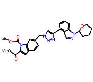 COC(=O)c1cc2ccc(Cn3cc(-c4cccc5c4cnn5C4CCCCO4)nn3)cc2n1C(=O)OC(C)(C)C